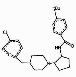 CC(C)(C)c1ccc(C(=O)NC2CCCC2N2CCC(Cc3ccc(Cl)cc3)CC2)cc1